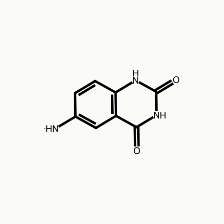 [NH]c1ccc2[nH]c(=O)[nH]c(=O)c2c1